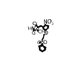 CN1C(=O)NC(=O)C1=Cc1cc(OCCCS(=O)(=O)c2ccccc2)ccc1[N+](=O)[O-]